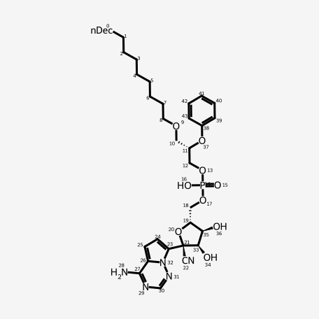 CCCCCCCCCCCCCCCCCCOC[C@@H](COP(=O)(O)OC[C@H]1O[C@@](C#N)(c2ccc3c(N)ncnn23)[C@H](O)[C@@H]1O)Oc1ccccc1